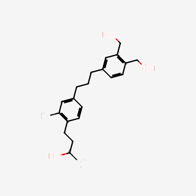 CCc1cc(CCCc2ccc(CO)c(CO)c2)ccc1CCC(O)C(C)C